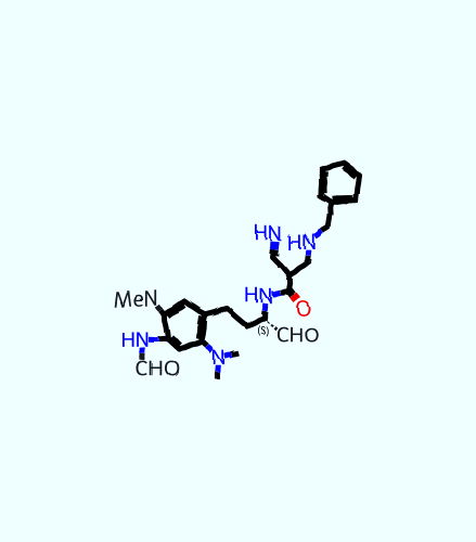 CNc1cc(CC[C@@H](C=O)NC(=O)C(C=N)CNCc2ccccc2)c(N(C)C)cc1NC=O